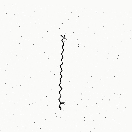 C=CC(=O)OCCCCCCCCCCCCCCCCCC[Si](C)(C)F